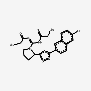 CC(C)(C)OC(=O)N=C(NC(=O)OC(C)(C)C)N1CCCC1c1nc(-c2ccc3cc(O)ccc3c2)no1